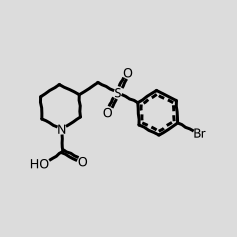 O=C(O)N1CCCC(CS(=O)(=O)c2ccc(Br)cc2)C1